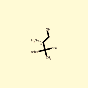 CCCCCCC(C)(CCCC)[C@H](N)CO